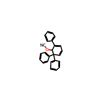 N#COC1C(c2ccccc2)=CC=CC1(c1ccccc1)c1ccccc1